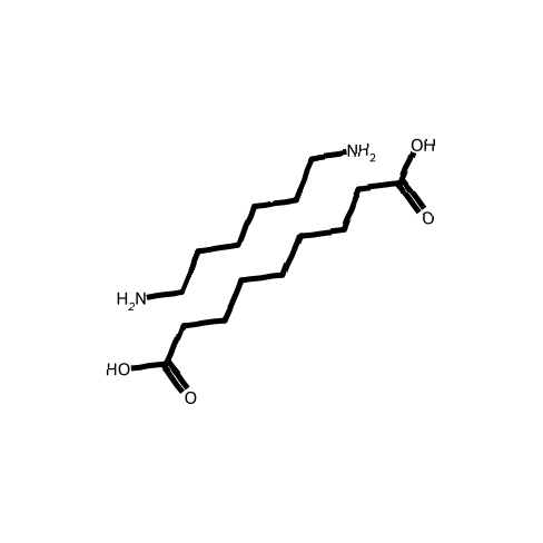 NCCCCCCN.O=C(O)CCCCCCCC(=O)O